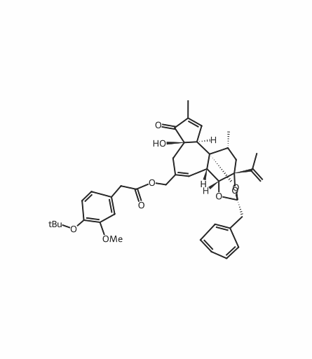 C=C(C)[C@]12C[C@@H](C)[C@@]34O[C@](Cc5ccccc5)(O[C@@H]1[C@@H]3C=C(COC(=O)Cc1ccc(OC(C)(C)C)c(OC)c1)C[C@]1(O)C(=O)C(C)=C[C@@H]41)O2